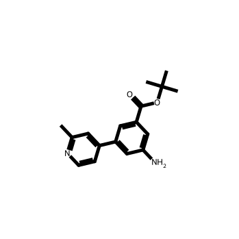 Cc1cc(-c2cc(N)cc(C(=O)OC(C)(C)C)c2)ccn1